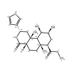 COC(=O)[C@@H]1C[C@H](O)[C@H](O)C2[C@@]3(C)C[C@@H](c4ccoc4)OC(=O)[C@H]3CC[C@]21C